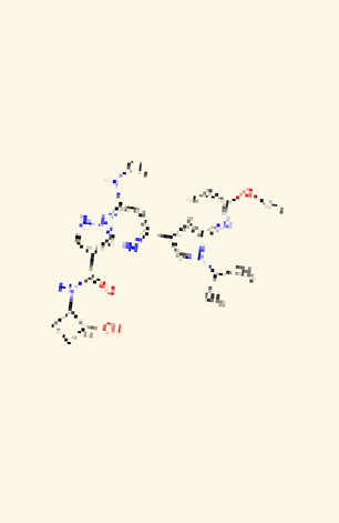 CNc1cc(-c2cn(C(C)C)c3nc(OC)ccc23)nc2c(C(=O)NC3CC[C@H]3O)cnn12